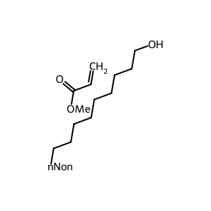 C=CC(=O)OC.CCCCCCCCCCCCCCCCCCO